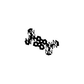 c1cnc(-c2nc(-c3ccc4c(c3)C3(c5ccccc5-c5ccccc53)c3cc(-c5nc(-c6ncccn6)nc(-c6ncccn6)n5)ccc3-4)nc(-c3ncccn3)n2)nc1